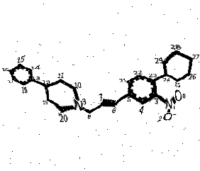 O=[N+]([O-])c1cc(C=CCN2CCC(c3ccccc3)CC2)ccc1C1CCCCC1